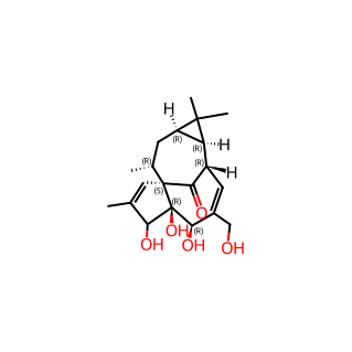 CC1=C[C@]23C(=O)[C@@H](C=C(CO)[C@@H](O)[C@]2(O)C1O)[C@H]1[C@@H](C[C@H]3C)C1(C)C